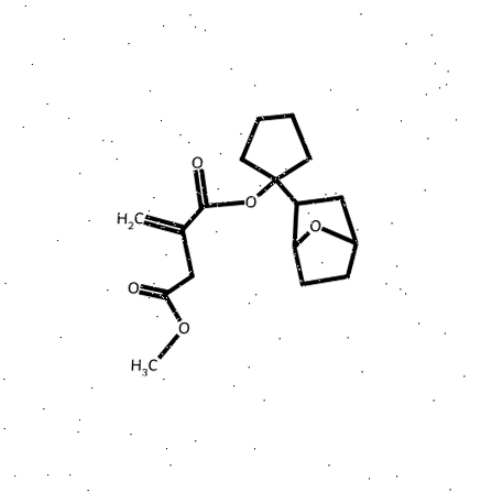 C=C(CC(=O)OC)C(=O)OC1(C2CC3CCC2O3)CCCC1